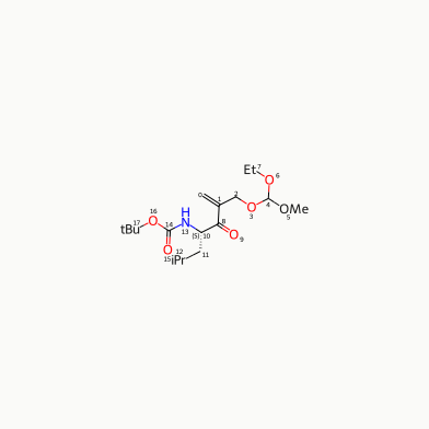 C=C(COC(OC)OCC)C(=O)[C@H](CC(C)C)NC(=O)OC(C)(C)C